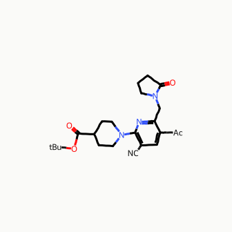 CC(=O)c1cc(C#N)c(N2CCC(C(=O)OC(C)(C)C)CC2)nc1CN1CCCC1=O